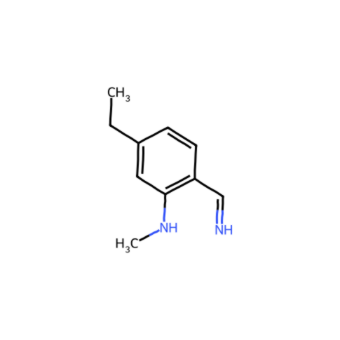 CCc1ccc(C=N)c(NC)c1